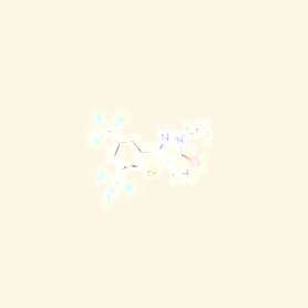 CN1N=C(c2cc(C(F)(F)F)cc(C(F)(F)F)c2)C(C)(Br)C1=O